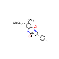 COCCc1cc2c(cc1OC)C(=O)N1CC(c3ccc(C)cc3)=C[C@H]1C(=O)N2C